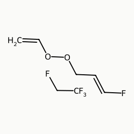 C=COOCC=CF.FCC(F)(F)F